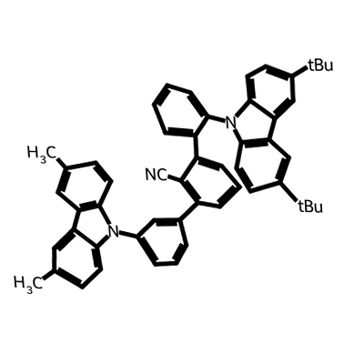 Cc1ccc2c(c1)c1cc(C)ccc1n2-c1cccc(-c2cccc(-c3ccccc3-n3c4ccc(C(C)(C)C)cc4c4cc(C(C)(C)C)ccc43)c2C#N)c1